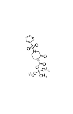 CC(C)(C)OC(=O)N1CCN(S(=O)(=O)c2cccs2)CC1=O